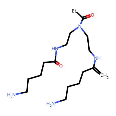 C=C(CCCCN)NCCN(CCNC(=O)CCCCN)C(=O)CC